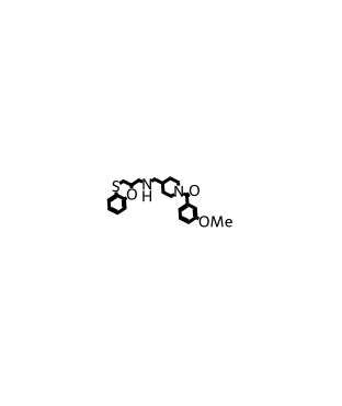 COc1cccc(C(=O)N2CCC(CNCC3CSc4ccccc4O3)CC2)c1